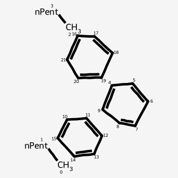 CCCCCC.CCCCCC.c1ccccc1.c1ccccc1.c1ccccc1